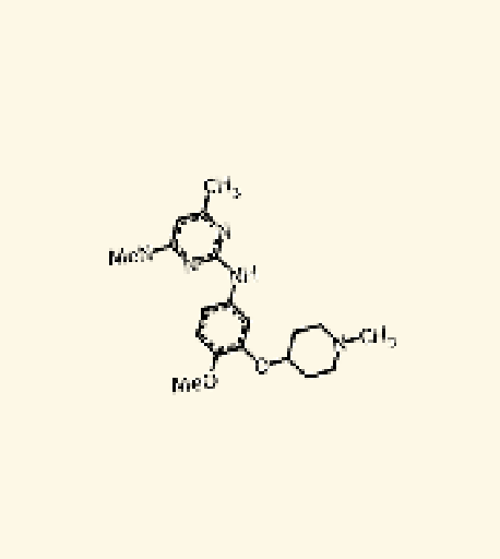 CNc1cc(C)nc(Nc2ccc(OC)c(OC3CCN(C)CC3)c2)n1